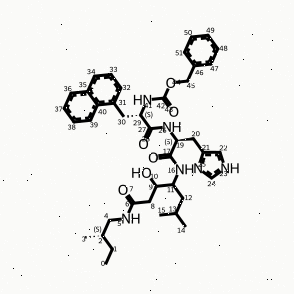 CC[C@H](C)CNC(=O)CC(O)C(CC(C)C)NC(=O)[C@H](Cc1c[nH]cn1)NC(=O)[C@H](Cc1cccc2ccccc12)NC(=O)OCc1ccccc1